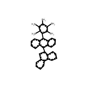 Bc1c(B)c(B)c(-c2c3ccccc3c(-c3cc4ccccc4c4ccccc34)c3ccccc23)c(B)c1B